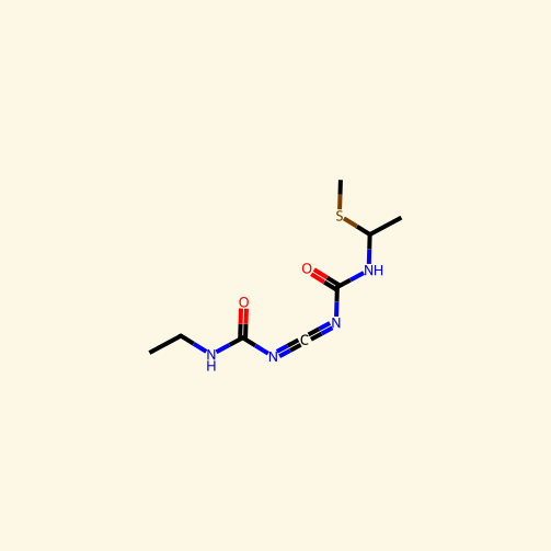 CCNC(=O)N=C=NC(=O)NC(C)SC